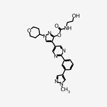 Cn1cc(-c2cccc(-c3ncc(-c4cn(C5CCOCC5)nc4OC(=O)NCCO)cn3)c2)cn1